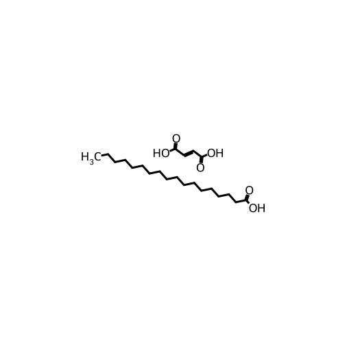 CCCCCCCCCCCCCCCCCC(=O)O.O=C(O)C=CC(=O)O